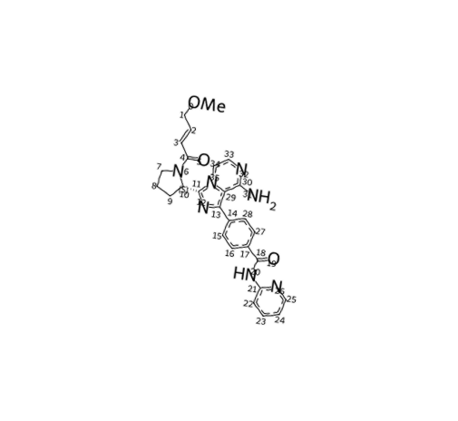 COCC=CC(=O)N1CCC[C@H]1c1nc(-c2ccc(C(=O)Nc3ccccn3)cc2)c2c(N)nccn12